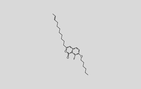 C/C=C/CCCCCCCCc1cc2ccc(OCCCCCC)c(F)c2c(=O)o1